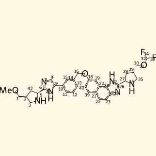 COC[C@@H]1CN[C@H](c2ncc(-c3ccc4c(c3)COc3cc5c(ccc6nc(C7C[C@H](COC(F)F)CN7)[nH]c65)cc3-4)[nH]2)C1